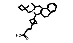 CC1CC2=C(CCc3ccccc32)C(C23CC(/C=C/C(=O)O)(C2)C3)N1CC1(F)CCC1